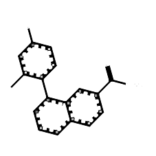 COC(=O)c1ccc2cccc(-c3ccc(Cl)cc3C)c2c1